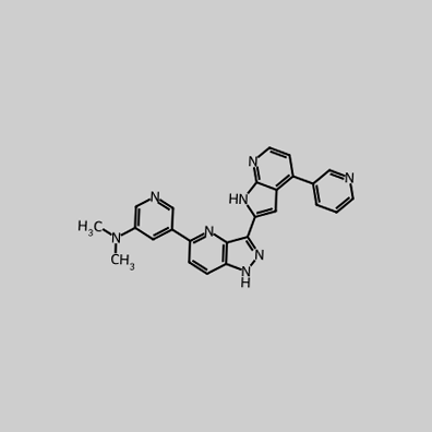 CN(C)c1cncc(-c2ccc3[nH]nc(-c4cc5c(-c6cccnc6)ccnc5[nH]4)c3n2)c1